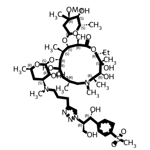 CC[C@H]1OC(=O)[C@H](C)[C@@H](O[C@H]2C[C@@](C)(OC)[C@@H](O)[C@H](C)O2)[C@H](C)[C@@H](O[C@@H]2O[C@H](C)C[C@H](N(C)CCCc3cn([C@H](CO)[C@H](O)c4ccc(S(C)(=O)=O)cc4)nn3)[C@H]2O)[C@](C)(O)C[C@@H](C)CN(C)[C@H](C)[C@@H](O)[C@]1(C)O